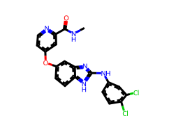 CNC(=O)c1cc(Oc2ccc3[nH]c(Nc4ccc(Cl)c(Cl)c4)nc3c2)ccn1